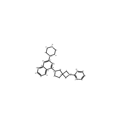 c1cnc(N2CC3(CCN(c4nc(N5CCOCC5)cc5ncccc45)C3)C2)nc1